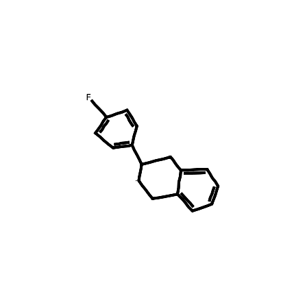 Fc1ccc(C2[CH]Cc3ccccc3C2)cc1